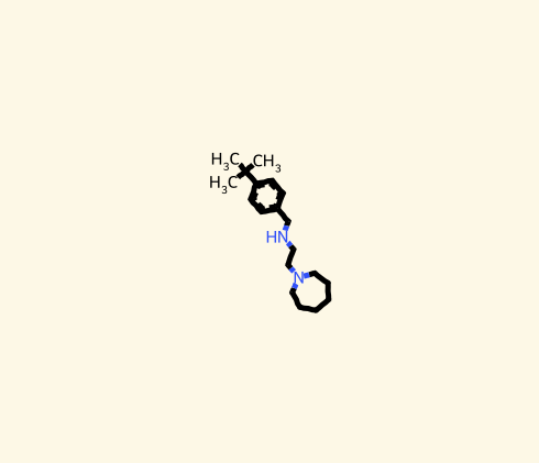 CC(C)(C)c1ccc(CNCCN2CCCCCC2)cc1